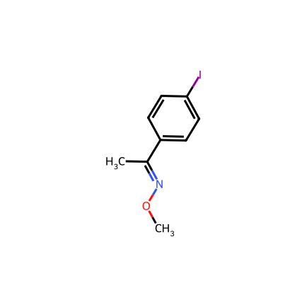 CON=C(C)c1ccc(I)cc1